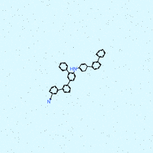 N#Cc1cccc(-c2cccc(-c3ccc(NC4=CCC(c5cccc(-c6ccccc6)c5)C=C4)c(-c4ccccc4)c3)c2)c1